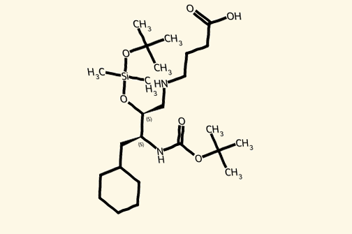 CC(C)(C)OC(=O)N[C@@H](CC1CCCCC1)[C@H](CNCCCC(=O)O)O[Si](C)(C)OC(C)(C)C